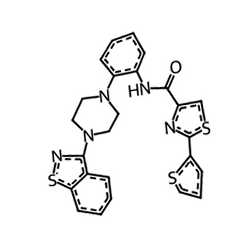 O=C(Nc1ccccc1N1CCN(c2nsc3ccccc23)CC1)c1csc(-c2cccs2)n1